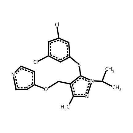 Cc1nn(C(C)C)c(Sc2cc(Cl)cc(Cl)c2)c1COc1ccncc1